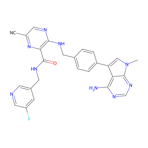 Cn1cc(-c2ccc(CNc3ncc(C#N)nc3C(=O)NCc3cncc(F)c3)cc2)c2c(N)ncnc21